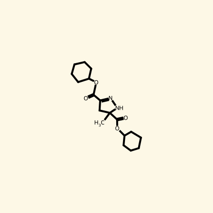 CC1(C(=O)OC2CCCCC2)CC(C(=O)OC2CCCCC2)=NN1